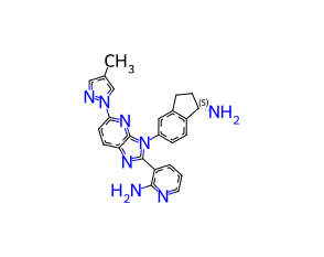 Cc1cnn(-c2ccc3nc(-c4cccnc4N)n(-c4ccc5c(c4)CC[C@@H]5N)c3n2)c1